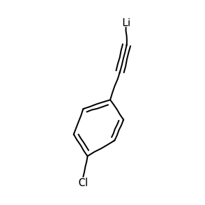 [Li][C]#Cc1ccc(Cl)cc1